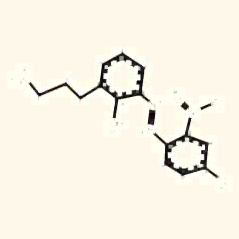 CCCCc1cccc(N=Nc2ccc(Cl)cc2[N+](=O)[O-])c1O